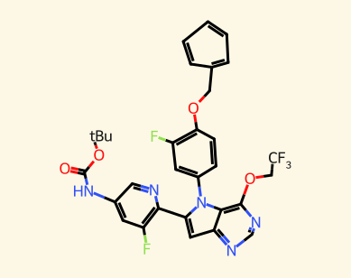 CC(C)(C)OC(=O)Nc1cnc(-c2cc3ncnc(OCC(F)(F)F)c3n2-c2ccc(OCc3ccccc3)c(F)c2)c(F)c1